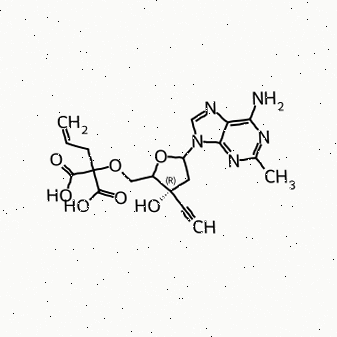 C#C[C@]1(O)CC(n2cnc3c(N)nc(C)nc32)OC1COC(CC=C)(C(=O)O)C(=O)O